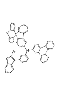 CC(C)c1oc2ccccc2c1-c1cccc(N(c2ccc3c(c2)-c2ccccc2C32c3ccccc3Sc3ccccc32)c2ccc3c4ccccc4c4ccccc4c3c2)c1